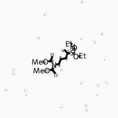 CCO[SiH](OCC)C(C)CCCN(C(C)OC)C(C)OC